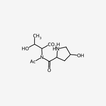 CC(=O)N(C(=O)C1CC(O)CN1)C(C(=O)O)C(C)O